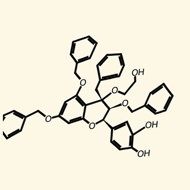 OCCO[C@@]1(Cc2ccccc2)c2c(OCc3ccccc3)cc(OCc3ccccc3)cc2O[C@H](c2ccc(O)c(O)c2)[C@@H]1OCc1ccccc1